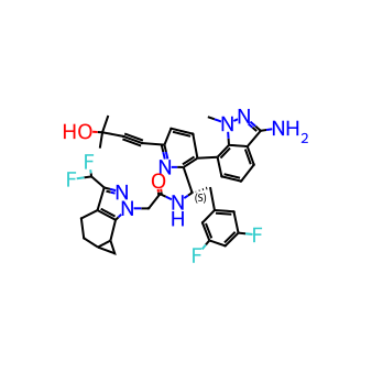 Cn1nc(N)c2cccc(-c3ccc(C#CC(C)(C)O)nc3[C@H](Cc3cc(F)cc(F)c3)NC(=O)Cn3nc(C(F)F)c4c3C3CC3CC4)c21